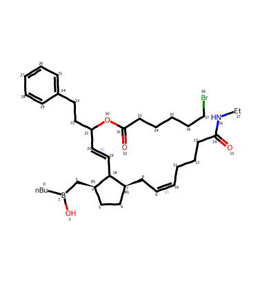 CCCCB(O)C[C@@H]1CC[C@H](C/C=C\CCCC(=O)NCC)C1/C=C/C(CCc1ccccc1)OC(=O)CCCCCBr